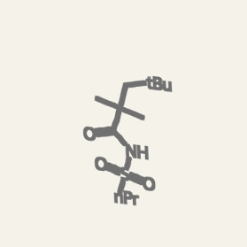 CCCS(=O)(=O)NC(=O)C(C)(C)CC(C)(C)C